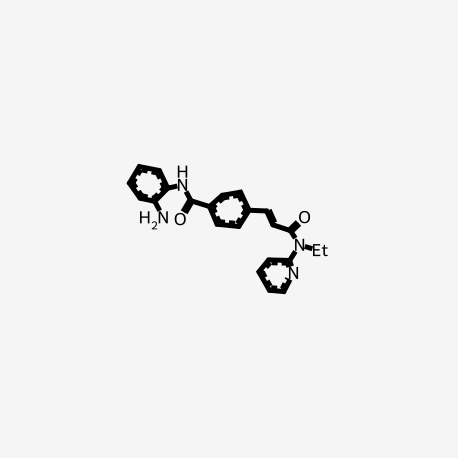 CCN(C(=O)C=Cc1ccc(C(=O)Nc2ccccc2N)cc1)c1ccccn1